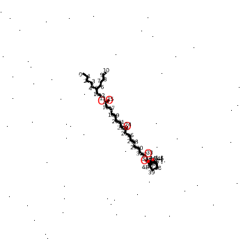 CCCCCC(CCCCC)CCOC(=O)CCCCCCCC(=O)CCCCCCCC(=O)OC1C[C@H]2CC[C@]1(C)C2(C)C